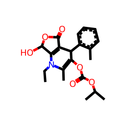 CCN1C(C)=C(OC(=O)OC(C)C)C(c2ccccc2C)C2=C1C(O)OC2=O